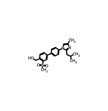 Cc1cn(-c2ccc(-c3ccc(CO)c(S(C)(=O)=O)c3)cc2)c(CC(C)C)n1